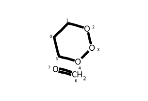 C1COOOC1.C=O